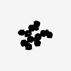 CC1(C)c2ccccc2-c2ccc(-c3cc(-c4ccccc4)nc(-c4cc(-n5c6ccccc6c6ccccc65)cc(-n5c6ccccc6c6cc(-c7ccc8oc9ccccc9c8c7)ccc65)c4)n3)cc21